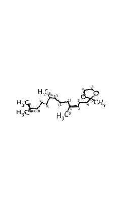 CC(=CCCC1(C)OCCO1)CCCC(C)CCCC(C)C